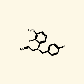 C=CCN(Cc1ccc(F)cc1)c1cc[c]c(N)c1F